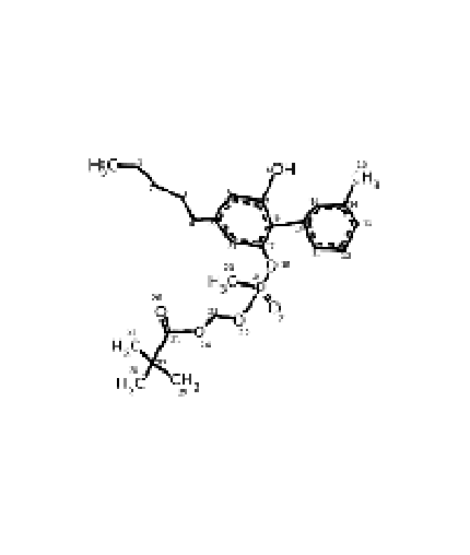 CCCCCc1cc(O)c(-c2cccc(C)c2)c(OP(C)(=O)OCOC(=O)C(C)(C)C)c1